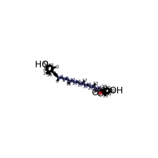 CC1=C(C#C/C(C)=C/C=C/C(C)=C/C=C/C=C(C)/C=C/C=C(C)/C(O)=C/C(=O)[C@]2(C)C[C@@H](O)CC2(C)C)C(C)(C)C[C@H](O)C1